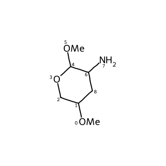 COC1COC(OC)C(N)C1